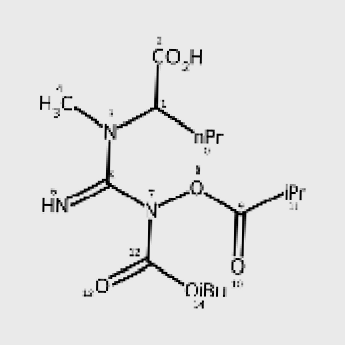 CCCC(C(=O)O)N(C)C(=N)N(OC(=O)C(C)C)C(=O)OCC(C)C